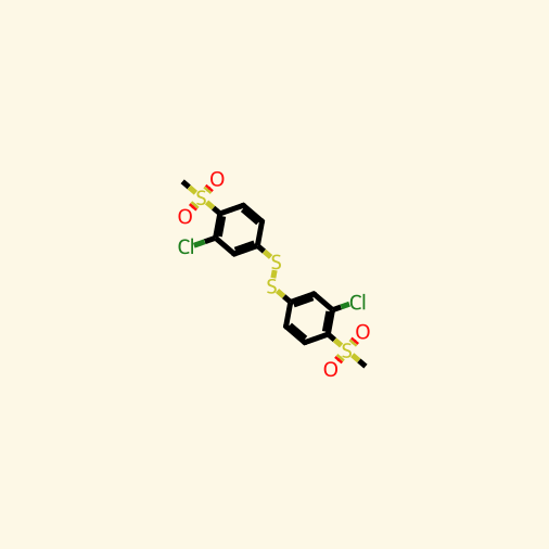 CS(=O)(=O)c1ccc(SSc2ccc(S(C)(=O)=O)c(Cl)c2)cc1Cl